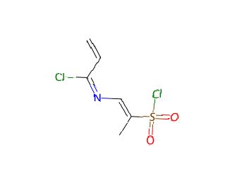 C=C/C(Cl)=N\C=C(/C)S(=O)(=O)Cl